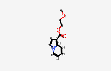 COCCOC(=O)c1ccn2ccccc12